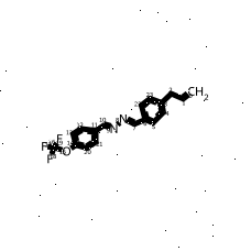 C=CCc1ccc(C=NN=Cc2ccc(OC(F)(F)F)cc2)cc1